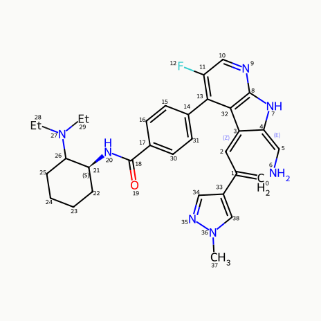 C=C(/C=c1\c(=C/N)[nH]c2ncc(F)c(-c3ccc(C(=O)N[C@H]4CCCCC4N(CC)CC)cc3)c12)c1cnn(C)c1